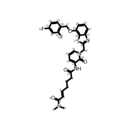 CN(C)C(=O)/C=C/CCCC(=O)Nc1cccn(Cc2nc3cccc(OCc4ccc(F)cc4F)c3s2)c1=O